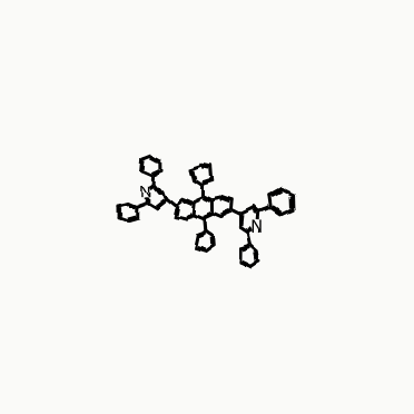 c1ccc(-c2cc(-c3ccc4c(-c5ccccc5)c5cc(-c6cc(-c7ccccc7)nc(-c7ccccc7)c6)ccc5c(-c5ccccc5)c4c3)cc(-c3ccccc3)n2)cc1